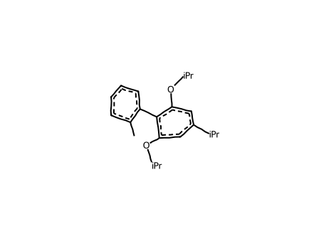 Cc1ccccc1-c1c(OC(C)C)cc(C(C)C)cc1OC(C)C